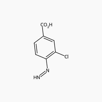 N=Nc1ccc(C(=O)O)cc1Cl